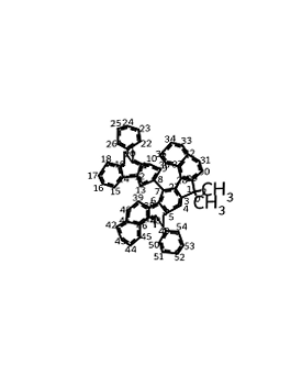 CC1(C)c2cc3c(c(-c4ccc5c(c4)c4ccccc4n5-c4ccccc4)c2-c2c1ccc1ccccc21)c1ccc2ccccc2c1n3-c1ccccc1